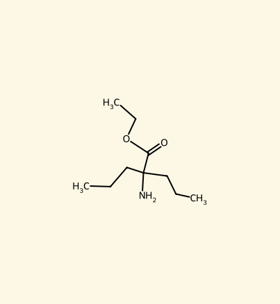 CCCC(N)(CCC)C(=O)OCC